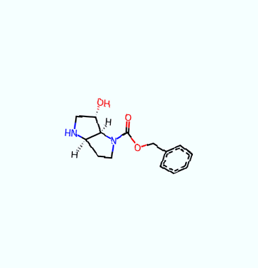 O=C(OCc1ccccc1)N1CC[C@H]2NC[C@H](O)[C@H]21